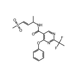 CC(C=CS(C)(=O)=O)NC(=O)c1cnc(C(C)(F)F)nc1Oc1ccccc1